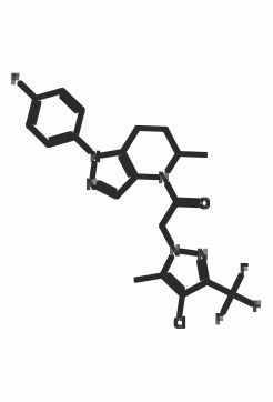 Cc1c(Cl)c(C(F)(F)F)nn1CC(=O)N1c2cnn(-c3ccc(F)cc3)c2CCC1C